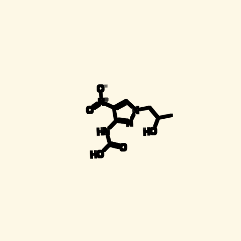 CC(O)Cn1cc([N+](=O)[O-])c(NC(=O)O)n1